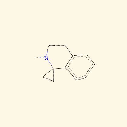 CN1CCc2c[c]ccc2C12CC2